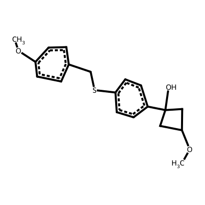 COc1ccc(CSc2ccc(C3(O)CC(OC)C3)cc2)cc1